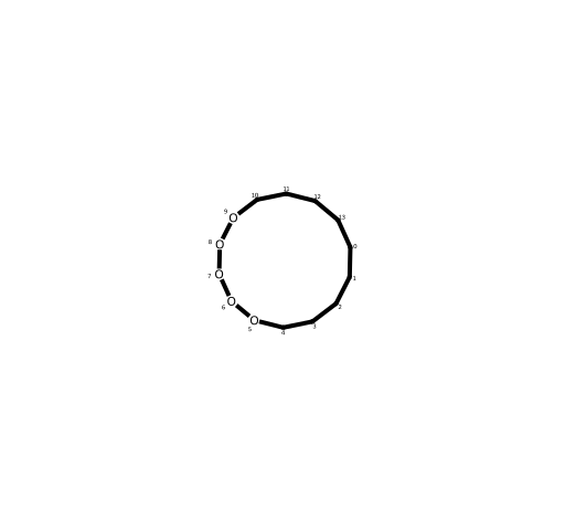 C1CCCCOOOOOCCCC1